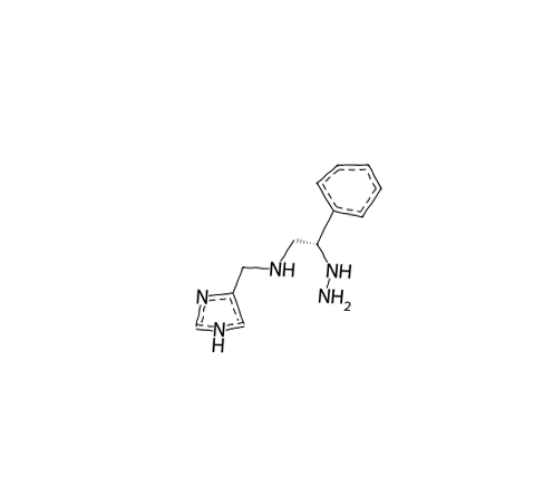 NN[C@H](CNCc1c[nH]cn1)c1ccccc1